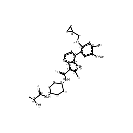 COc1cc(-c2ccnc3c(C(=O)N[C@H]4CC[C@H](NC(=O)[C@H](C)O)CC4)c(C)[nH]c23)c(OCC2CC2)cc1F